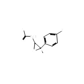 CC[C@@]1(c2ccc(F)cc2)OC1NC(=O)C(F)(F)F